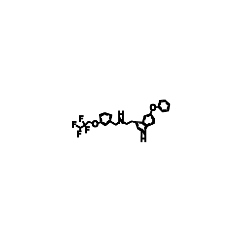 FC(F)C(F)(F)COc1cccc(CNCCc2c[nH]c3ccc(Oc4ccccc4)cc23)c1